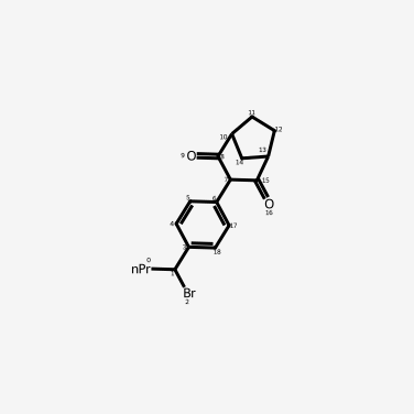 CCCC(Br)c1ccc(C2C(=O)C3CCC(C3)C2=O)cc1